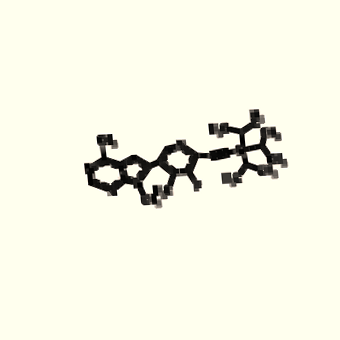 Cc1c(-c2cc3c(C)ncnc3n2C)cnc(C#C[Si](C(C)C)(C(C)C)C(C)C)c1F